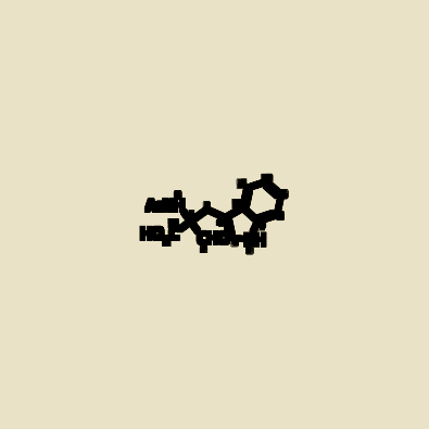 CC(=O)NC(C=O)(Cc1c[nH]c2ccccc12)C(=O)O